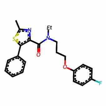 CCN(CCCOc1ccc(F)cc1)C(=O)c1nc(C)sc1-c1ccccc1